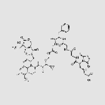 CC[C@@]1(O)C(=O)OCc2c1cc1n(c2=O)Cc2c-1nc1cc(F)c(C)c3c1c2[C@@H](NC(=O)C(OCNC(=O)CNC(=O)[C@H](Cc1ccccc1)NC(=O)CNC(=O)CNC(=O)[C@H](CNCC(=O)O)N1C(=O)C=CC1=O)C1CC1)CC3